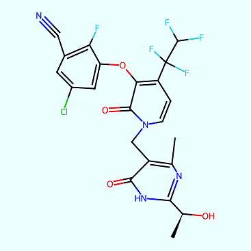 Cc1nc([C@H](C)O)[nH]c(=O)c1Cn1ccc(C(F)(F)C(F)F)c(Oc2cc(Cl)cc(C#N)c2F)c1=O